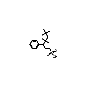 CC(C)(C)CC(C)(C)C(CCS(=O)(=O)O)c1ccccc1